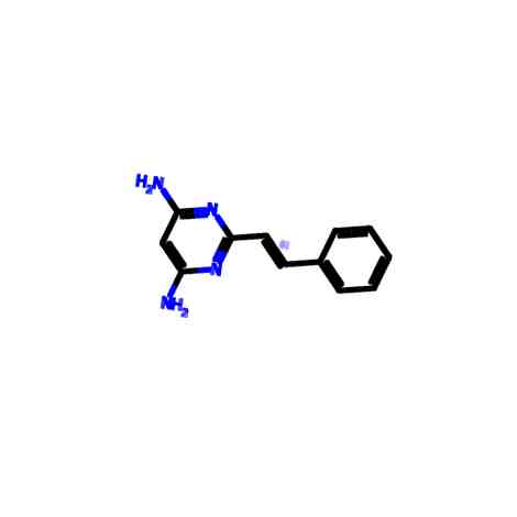 Nc1cc(N)nc(/C=C/c2ccccc2)n1